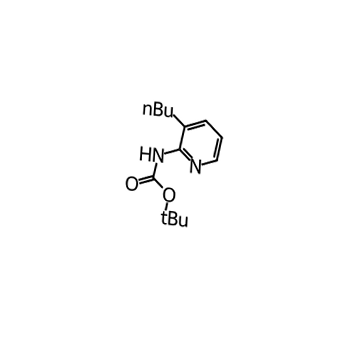 CCCCc1cccnc1NC(=O)OC(C)(C)C